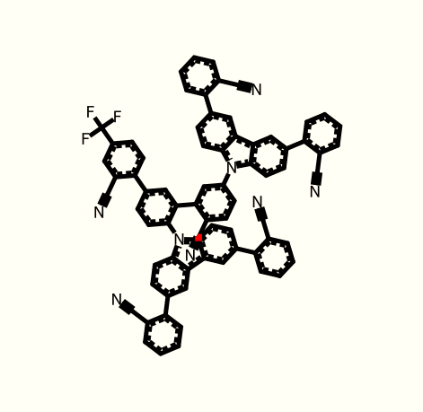 N#Cc1ccccc1-c1ccc2c(c1)c1cc(-c3ccccc3C#N)ccc1n2-c1ccc(C#N)c(-c2cc(-c3ccc(C(F)(F)F)cc3C#N)ccc2-n2c3ccc(-c4ccccc4C#N)cc3c3cc(-c4ccccc4C#N)ccc32)c1